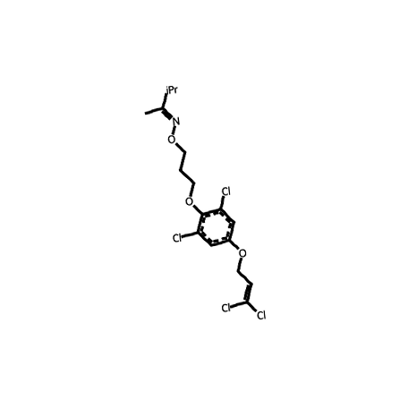 CC(=NOCCCOc1c(Cl)cc(OCC=C(Cl)Cl)cc1Cl)C(C)C